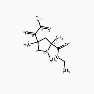 CCOC(=O)C1(C)CC(C)(C(=O)C(=O)O)CN1C